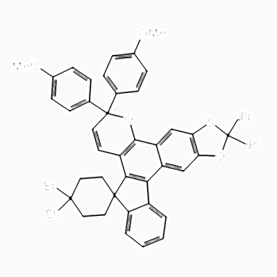 CCC1(CC)CCC2(CC1)c1ccccc1-c1c2c2c(c3cc4c(cc13)OC(C(C)C)(C(C)C)S4)OC(c1ccc(OC)cc1)(c1ccc(OC)cc1)C=C2